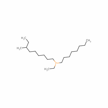 CCCCCCCCP(CC)CCCCCCC(C)CC